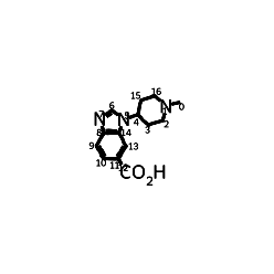 CN1CCC(n2cnc3ccc(C(=O)O)cc32)CC1